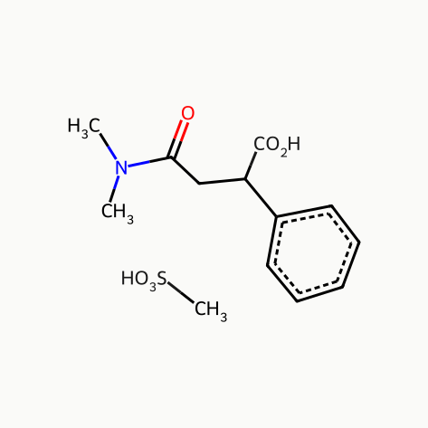 CN(C)C(=O)CC(C(=O)O)c1ccccc1.CS(=O)(=O)O